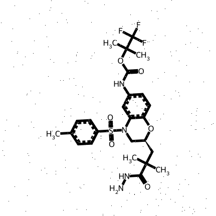 Cc1ccc(S(=O)(=O)N2C[C@H](CC(C)(C)C(=O)NN)Oc3ccc(NC(=O)OC(C)(C)C(F)(F)F)cc32)cc1